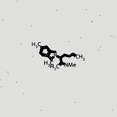 C=CCCC(C(=C)NC)N1Cc2cc(C)ccc2C1C